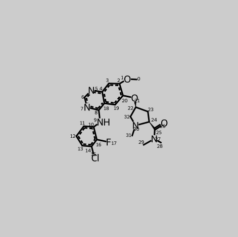 COc1cc2ncnc(Nc3cccc(Cl)c3F)c2cc1O[C@H]1C[C@@H](C(=O)N(C)C)N(C)C1